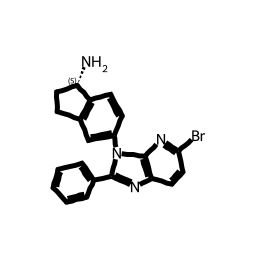 N[C@H]1CCc2cc(-n3c(-c4ccccc4)nc4ccc(Br)nc43)ccc21